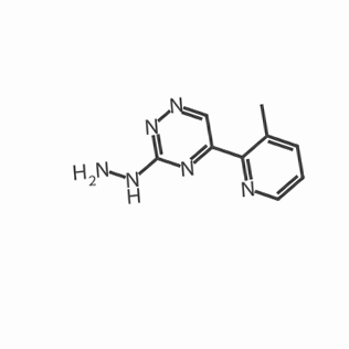 Cc1cccnc1-c1cnnc(NN)n1